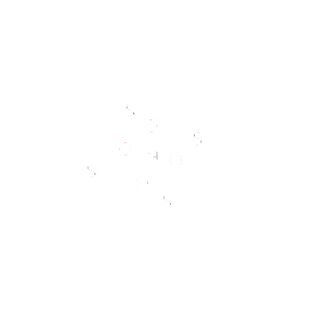 C=Cc1ccccc1[Si](C)(C)O[Si](O[Si](C)(C)C)(O[Si](C)(C)C)O[Si](C)(C)C